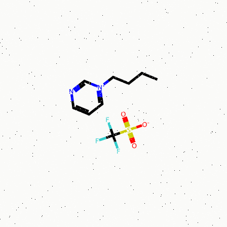 CCCC[n+]1cccnc1.O=S(=O)([O-])C(F)(F)F